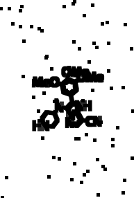 COc1cc(-c2[nH]c3c(C#N)cnn3c2N(C)C2CCNCC2)cc(OC)c1OC